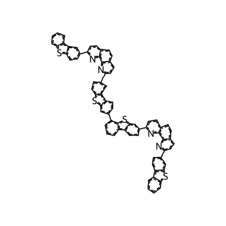 c1ccc2c(c1)sc1cc(-c3ccc4ccc5ccc(-c6ccc7c(c6)sc6c(-c8ccc9c(c8)sc8ccc(-c%10ccc%11ccc%12ccc(-c%13ccc%14sc%15ccccc%15c%14c%13)nc%12c%11n%10)cc89)cccc67)nc5c4n3)ccc12